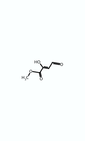 COC(=O)C(O)=C[C]=O